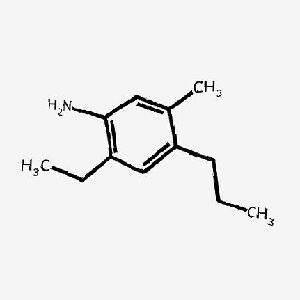 CCCc1cc(CC)c(N)cc1C